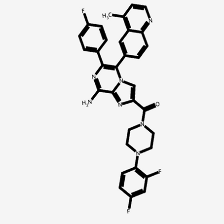 Cc1ccnc2ccc(-c3c(-c4ccc(F)cc4)nc(N)c4nc(C(=O)N5CCN(c6ccc(F)cc6F)CC5)cn34)cc12